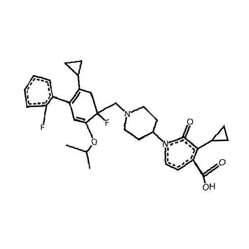 CC(C)OC1=CC(c2ccccc2F)=C(C2CC2)CC1(F)CN1CCC(n2ccc(C(=O)O)c(C3CC3)c2=O)CC1